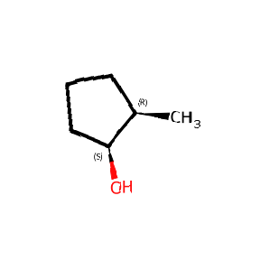 C[C@@H]1CCC[C@@H]1O